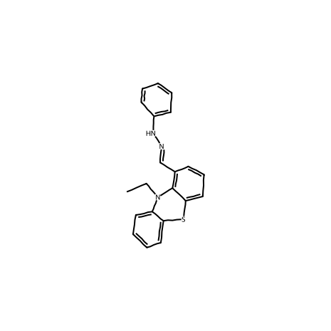 CCN1c2ccccc2Sc2cccc(C=NNc3ccccc3)c21